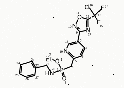 CCOP(=O)(Cc1ccc(-c2noc(C(F)(F)Cl)n2)cn1)NCc1ccccc1